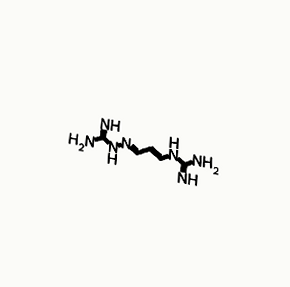 N=C(N)N/C=C/C=N/NC(=N)N